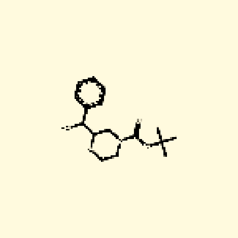 CC(C)(C)OC(=O)N1CCOC(C(O)c2ccccc2)C1